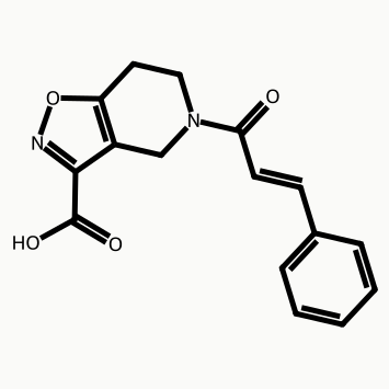 O=C(O)c1noc2c1CN(C(=O)C=Cc1ccccc1)CC2